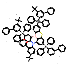 CC(C)(C)c1cc(-c2ccccc2)cc([Si](c2ccccc2)(c2ccccc2)c2ccc3c(c2)Sc2cc([Si](c4ccccc4)(c4ccccc4)c4cccc(-c5ccccc5)c4)cc4c2B3c2cc([Si](c3ccccc3)(c3ccccc3)c3cc(-c5ccccc5)cc(C(C)(C)C)c3)ccc2N4c2ccc(C(C)(C)C)cc2-c2ccccc2)c1